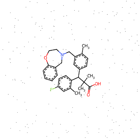 Cc1ccc(C(c2ccc(F)cc2C)C(C)(C)C(=O)O)cc1CN1CCOc2ccccc2C1